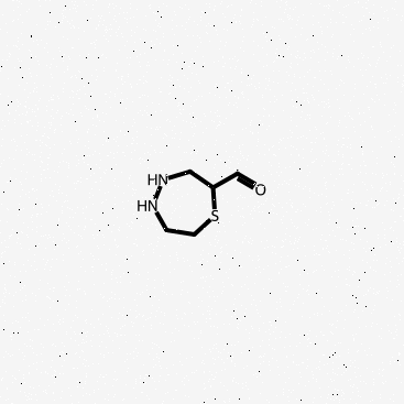 O=[C]C1CNNCCS1